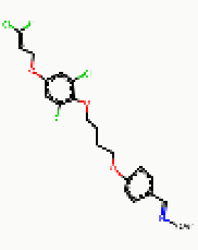 CON=Cc1ccc(OCCCCOc2c(Cl)cc(OCC=C(Cl)Cl)cc2Cl)cc1